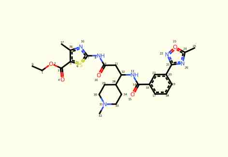 CCOC(=O)c1sc(NC(=O)CC(NC(=O)c2cccc(-c3noc(C)n3)c2)C2CCN(C)CC2)nc1C